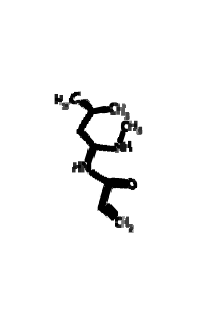 C=CC(=O)NC(CC(C)C)NC